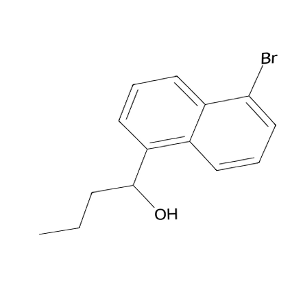 CCCC(O)c1cccc2c(Br)cccc12